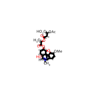 COc1ccc2c3c1OC1C(OC(=O)[C@H](C)OC(=O)C[C@H](OC(C)=O)C(=O)O)=CC[C@@]4(O)[C@@H](C2)N(C)CCC314